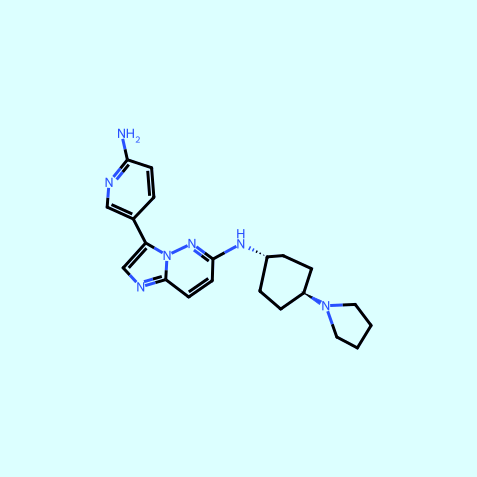 Nc1ccc(-c2cnc3ccc(N[C@H]4CC[C@H](N5CCCC5)CC4)nn23)cn1